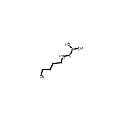 CCCCCNOB(O)O